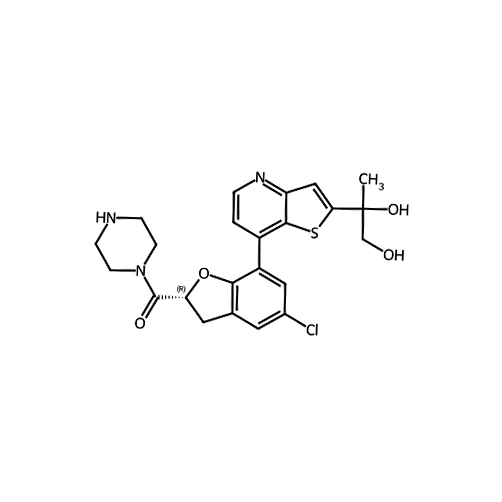 CC(O)(CO)c1cc2nccc(-c3cc(Cl)cc4c3O[C@@H](C(=O)N3CCNCC3)C4)c2s1